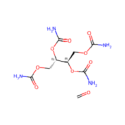 C=O.NC(=O)OC[C@H](OC(N)=O)[C@@H](COC(N)=O)OC(N)=O